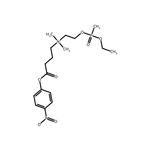 CCOP(C)(=O)OCC[N+](C)(C)CCCC(=O)Oc1ccc([N+](=O)[O-])cc1